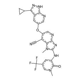 Cn1cc(C(F)(F)F)cc(Nc2nc3ncc(Oc4cnc5[nH]nc(C6CC6)c5c4)c(C#N)c3n2C)c1=O